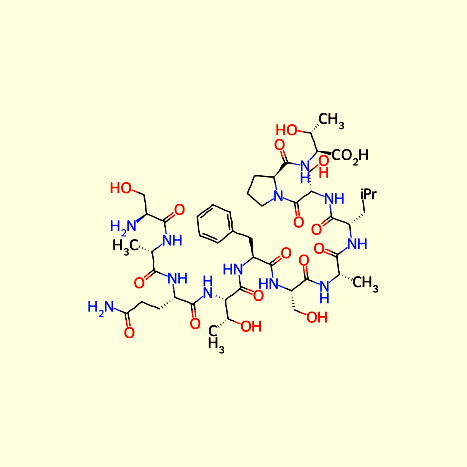 CC(C)C[C@H](NC(=O)[C@H](C)NC(=O)[C@H](CO)NC(=O)[C@H](Cc1ccccc1)NC(=O)[C@@H](NC(=O)[C@H](CCC(N)=O)NC(=O)[C@H](C)NC(=O)[C@@H](N)CO)[C@@H](C)O)C(=O)N[C@@H](CO)C(=O)N1CCC[C@H]1C(=O)N[C@H](C(=O)O)[C@@H](C)O